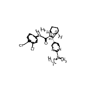 CN(C)c1ncc([C@@H]2[C@@H](C(=O)Nc3ccc(Cl)c(Cl)c3)[C@H]3CC[C@@H]2O3)cn1